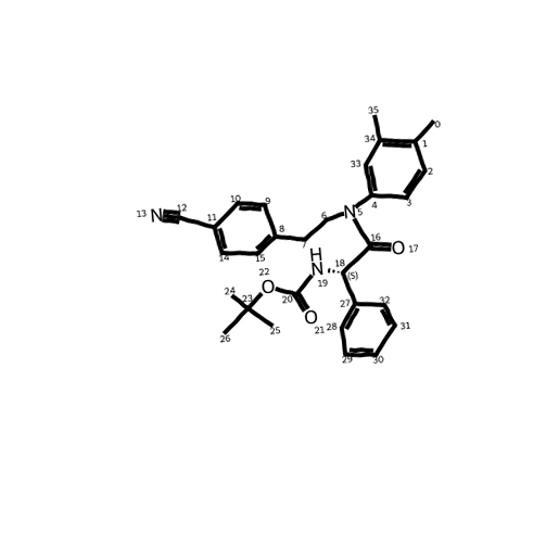 Cc1ccc(N(CCc2ccc(C#N)cc2)C(=O)[C@@H](NC(=O)OC(C)(C)C)c2ccccc2)cc1C